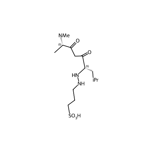 CN[C@@H](C)C(=O)CC(=O)[C@H](CC(C)C)NNCCCS(=O)(=O)O